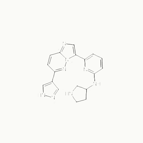 c1cc(NC2CCNC2)nc(-c2cnc3ccc(-c4cn[nH]c4)nn23)c1